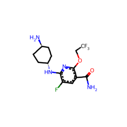 NC(=O)c1cc(F)c(N[C@H]2CC[C@H](N)CC2)nc1OCC(F)(F)F